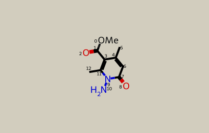 COC(=O)c1c(C)cc(=O)n(N)c1C